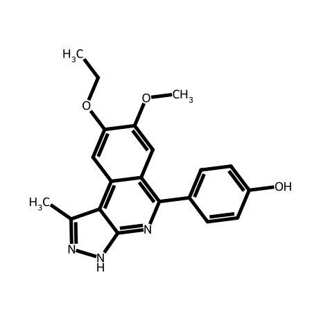 CCOc1cc2c(cc1OC)c(-c1ccc(O)cc1)nc1[nH]nc(C)c12